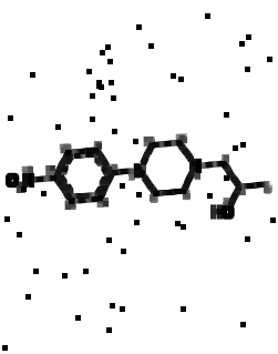 CC(O)CN1CCN(c2ccc([N+](=O)[O-])cc2)CC1